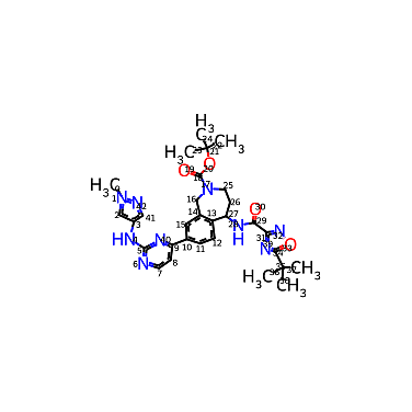 Cn1cc(Nc2nccc(-c3ccc4c(c3)CN(C(=O)OC(C)(C)C)CCC4NC(=O)c3noc(C(C)(C)C)n3)n2)cn1